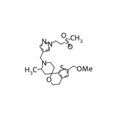 COCc1cc2c(s1)C1(CCN(Cc3cnn(CCS(C)(=O)=O)c3)C(C)C1)OCC2